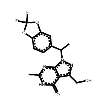 Cc1nc2c(c(CO)nn2C(C)c2ccc3c(c2)OC(F)(F)O3)c(=O)[nH]1